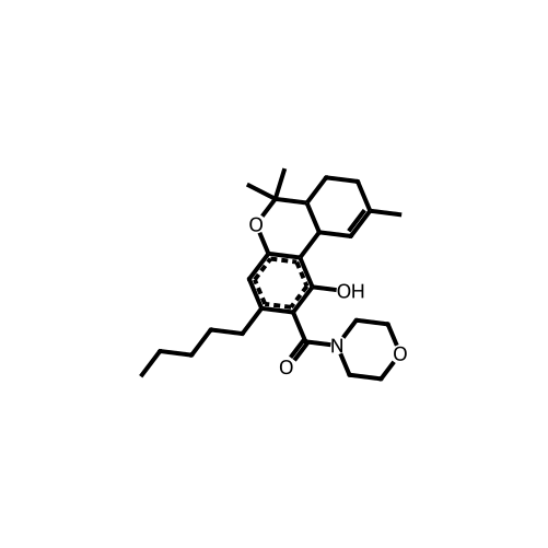 CCCCCc1cc2c(c(O)c1C(=O)N1CCOCC1)C1C=C(C)CCC1C(C)(C)O2